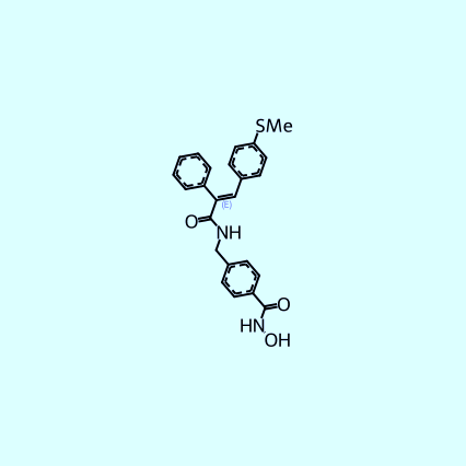 CSc1ccc(/C=C(/C(=O)NCc2ccc(C(=O)NO)cc2)c2ccccc2)cc1